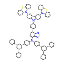 c1ccc(-c2cc(-c3ccccc3)cc(-c3ccc(N(c4ccc(-c5cc(-c6ccccc6)cc(-c6ccccc6)c5)cc4)c4ccc(-c5ccc(-n6c7ccc(N8c9ccccc9Sc9ccccc98)cc7c7cc(N8c9ccccc9Sc9ccccc98)ccc76)cc5)c5nsnc45)cc3)c2)cc1